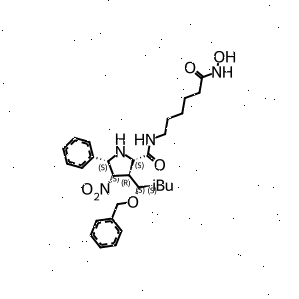 CC[C@H](C)[C@H](OCc1ccccc1)[C@H]1[C@H]([N+](=O)[O-])[C@H](c2ccccc2)N[C@@H]1C(=O)NCCCCCC(=O)NO